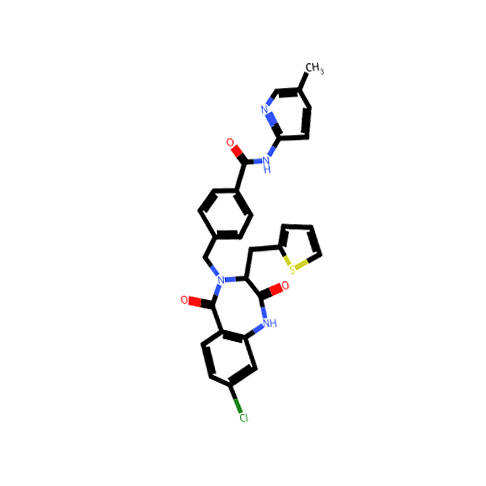 Cc1ccc(NC(=O)c2ccc(CN3C(=O)c4ccc(Cl)cc4NC(=O)C3Cc3cccs3)cc2)nc1